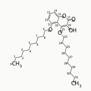 CCCCCCCCCCOc1cccc2oc(=O)c(O)c(OCCCCCCCCCC)c12